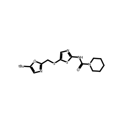 CC(C)(C)c1cnc(CSc2cnc(NC(=O)N3CCCCC3)s2)o1